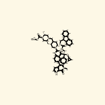 C[C@@H]1CN(CC2CCN(c3nc([C@@](CNC(=O)OCC4c5ccccc5-c5ccccc54)(OC4CC4)c4ccccc4)c4cc(-c5cn(C)c(=O)c6[nH]ccc56)ccc4n3)CC2)[C@@H](C)CN1C(=O)OC(C)(C)C